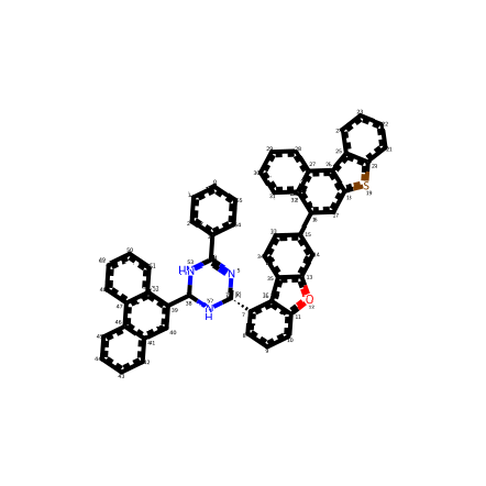 c1ccc(C2=N[C@H](c3cccc4oc5cc(-c6cc7sc8ccccc8c7c7ccccc67)ccc5c34)NC(c3cc4ccccc4c4ccccc34)N2)cc1